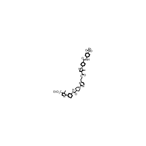 CCOC(=O)c1cnn(-c2cccc(NC(=O)C3CCN(c4nccc(CCOC(=O)c5cnn(-c6ccc(C(=O)Nc7ccc(S(=O)(=O)CC)cc7)cc6)c5C)n4)CC3)c2)c1C